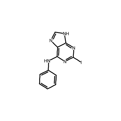 Ic1nc(Nc2ccccc2)c2nc[nH]c2n1